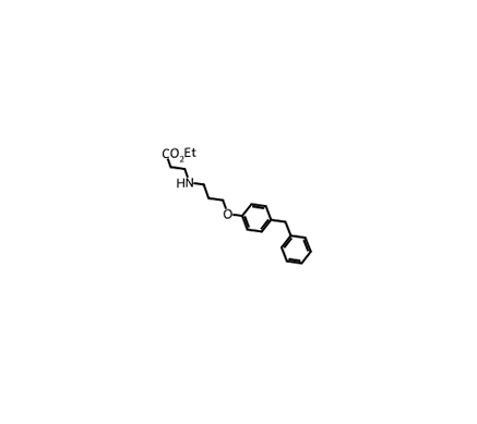 CCOC(=O)CCNCCCOc1ccc(Cc2ccccc2)cc1